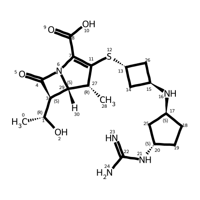 C[C@@H](O)[C@H]1C(=O)N2C(C(=O)O)=C(S[C@H]3C[C@H](N[C@H]4CC[C@H](NC(=N)N)C4)C3)[C@H](C)[C@H]12